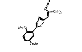 COc1ccc(OC)c(-c2ccc(/C=C(/C=O)N=[N+]=[N-])o2)c1